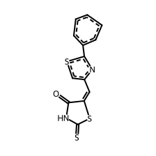 O=C1NC(=S)SC1=Cc1csc(-c2ccccc2)n1